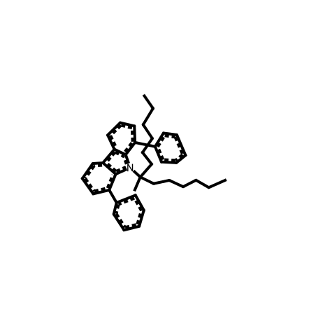 CCCCCCC(C)(CCCCCC)n1c2c(-c3ccccc3)cccc2c2cccc(-c3ccccc3)c21